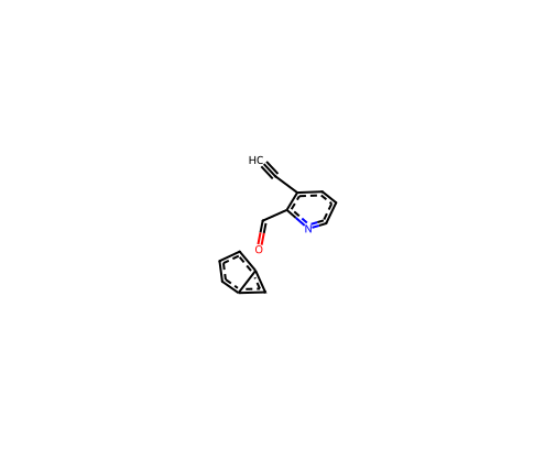 C#Cc1cccnc1C=O.c1cc2cc-2c1